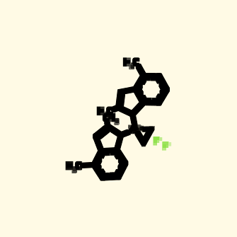 CC1=Cc2c(C)cccc2[CH]1[Zr+2]1([CH]2C(C)=Cc3c(C)cccc32)[CH2][CH2]1.[F-].[F-]